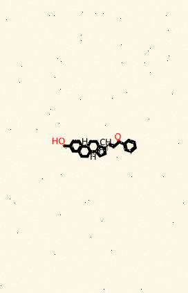 C[C@]12CC[C@@H]3c4ccc(CO)cc4CC[C@H]3[C@@H]1CC[C@@H]2C=CC(=O)c1ccccc1